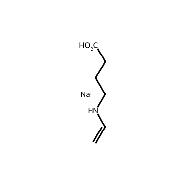 C=CNCCCC(=O)O.[Na]